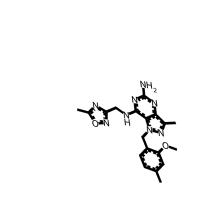 COc1cc(C)ccc1Cn1nc(C)c2nc(N)nc(NCc3noc(C)n3)c21